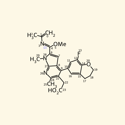 C=C(C)/N=C(\OC)c1cc2c(-c3cc(F)c4c(c3)CCCO4)c(CC(=O)O)c(C)nc2n1C